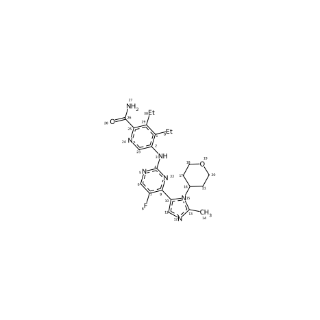 CCc1c(Nc2ncc(F)c(-c3cnc(C)n3C3CCOCC3)n2)cnc(C(N)=O)c1CC